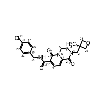 CC1(CN2CCn3c(ccc(C(=O)NCc4ccc(Cl)cc4)c3=O)C2=O)COC1